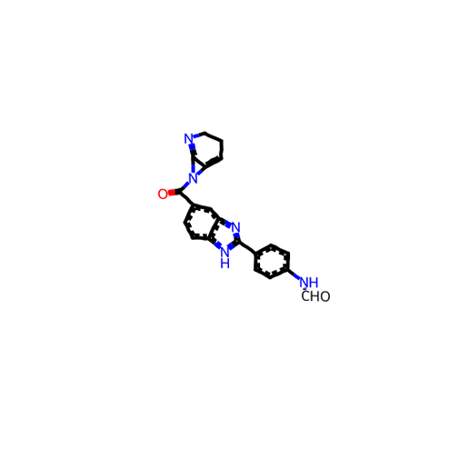 O=CNc1ccc(-c2nc3cc(C(=O)N4C5=CCCN=C54)ccc3[nH]2)cc1